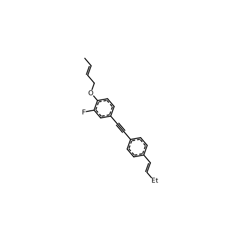 CC=CCOc1ccc(C#Cc2ccc(C=CCC)cc2)cc1F